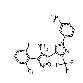 Nc1c(-c2c(F)cccc2Cl)noc1-c1cn(-c2cccc(P)c2)nc1C(F)(F)F